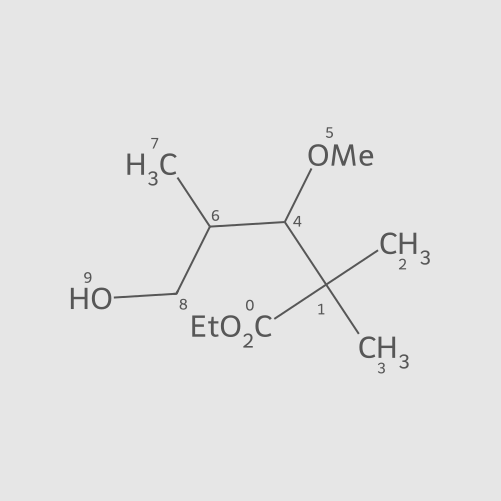 CCOC(=O)C(C)(C)C(OC)C(C)CO